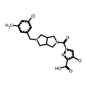 Cc1cc(Cl)cc(CN2CC3CN(C(=O)n4cc(Cl)c(C(=O)O)n4)CC3C2)c1